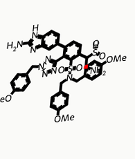 COc1ccc(CN(Cc2ccc(OC)cc2)S(=O)(=O)c2c(C(CN)[SH](=O)=O)ccc(-c3ccc4[nH]c(N)nc4c3)c2-c2nnn(Cc3ccc(OC)cc3)n2)cc1